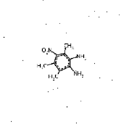 Cc1c(C)c([N+](=O)[O-])c(C)c(N)c1N